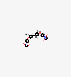 CC(C)(C)c1cc(C(C)(C)c2ccc(Oc3ccc(N4C(=O)C=CC4=O)cc3)c(C(C)(C)C)c2)ccc1Oc1ccc(N2C(=O)C=CC2=O)cc1